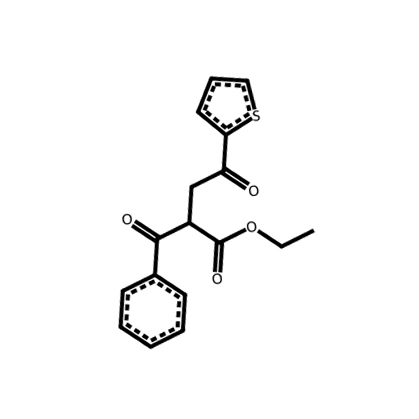 CCOC(=O)C(CC(=O)c1cccs1)C(=O)c1ccccc1